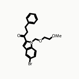 COCCOCn1c(C(=O)CCc2ccccc2)cc2cc(Br)ccc21